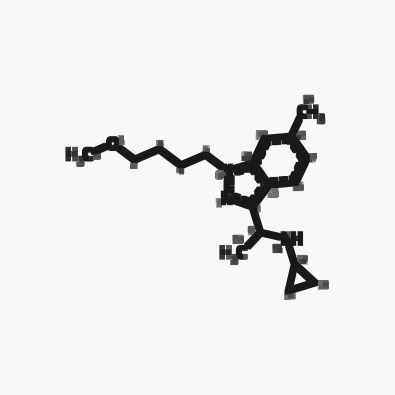 COCCCCn1nc(C(C)NC2CC2)c2ccc(C)cc21